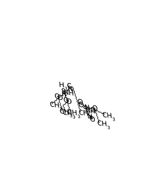 CCCCCCCCC(CCCCCC)C(=O)OCCCN(CCCOC(=O)C(CCCCCC)CCCCCCCCC1CCC(C)N(CCCNC(=S)N(CCCOC(=O)C(CCCCCC)CCCCCCCC)CCCOC(=O)C(CCCCCC)CCCCCCCC)C1)C(=S)NCCCN1CCOCC1